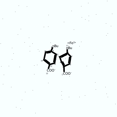 CCCCc1ccc(C(=O)[O-])cc1.CCCCc1ccc(C(=O)[O-])cc1.[Fe+2]